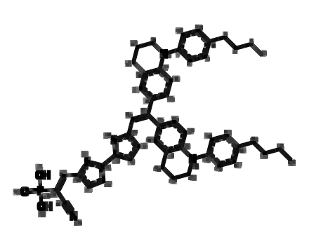 CCCCc1ccc(N2CCCc3cc(C(=Cc4ccc(-c5ccc(/C=C(\C#N)P(=O)(O)O)s5)s4)c4ccc5c(c4)CCCN5c4ccc(CCCC)cc4)ccc32)cc1